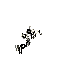 CC(C)c1ncncc1-c1cc(F)ccc1Oc1cnccc1N1CCC2(CCN(Cc3ccc4[nH]c(=O)[nH]c4c3)C2)C1